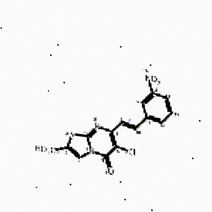 O=C(O)c1cn2c(=O)c(Cl)c(/C=C/c3cccc([N+](=O)[O-])c3)nc2s1